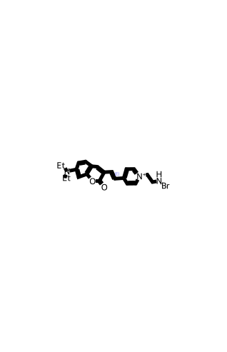 CCN(CC)c1ccc2cc(/C=C/c3cc[n+](CCNBr)cc3)c(=O)oc2c1